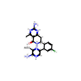 COc1nc(C2C=C(F)C=CC2[C@@H]2Cc3nc(N)nc(C)c3C(=O)N2)cnc1N